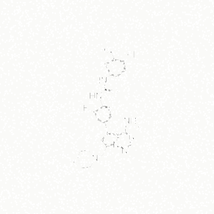 Nc1ncnn2c(CN3CCOCC3)cc(-c3ccc(NC(=O)Nc4ccc(Cl)c(Cl)c4)c(F)c3)c12